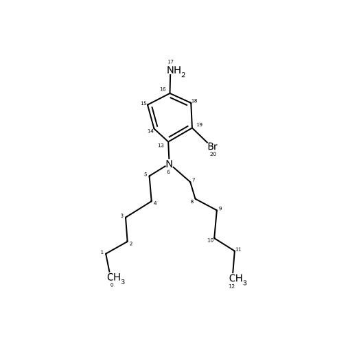 CCCCCCN(CCCCCC)c1ccc(N)cc1Br